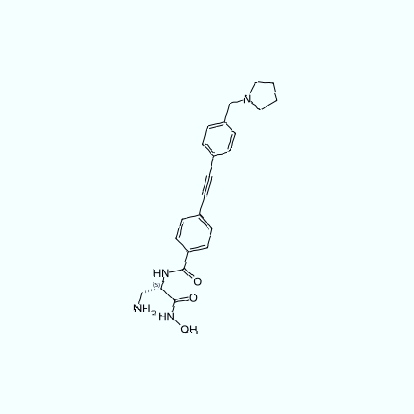 NC[C@H](NC(=O)c1ccc(C#Cc2ccc(CN3CCCC3)cc2)cc1)C(=O)NO